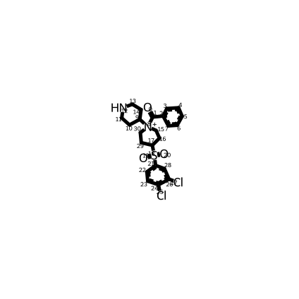 O=C(c1ccccc1)[N+]1(C2CCNCC2)CCC(S(=O)(=O)c2ccc(Cl)c(Cl)c2)CC1